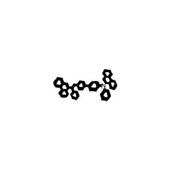 C(=C(/c1ccccc1)c1cc2ccccc2c2ccccc12)/c1ccc(-c2ccc(N(c3ccccc3)c3cc4ccccc4c4ccccc34)cc2)cc1